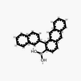 OB(O)c1ccc2cc3ccccc3cc2c1-c1ccc2ccccc2c1